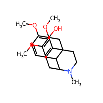 COC1=C(OC)CC23CCN(C)C(Cc4ccc(OC)c(O)c42)C3C1